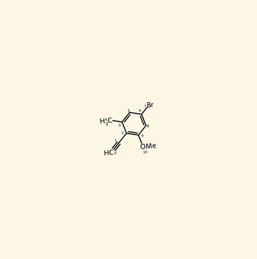 C#Cc1c(C)cc(Br)cc1OC